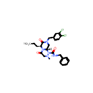 CN1CC(=O)N2[C@@H](CCC(=O)O)C(=O)N(Cc3ccc(Cl)c(Cl)c3)C[C@@H]2N1C(=O)NCc1ccccc1